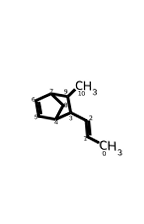 CC=CC1C2C=CC(C2)C1C